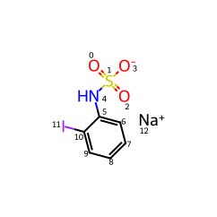 O=S(=O)([O-])Nc1ccccc1I.[Na+]